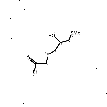 CCC(=O)CSCC(O)CSC